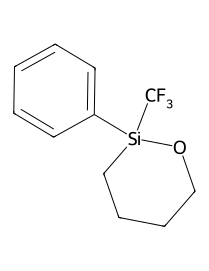 FC(F)(F)[Si]1(c2ccccc2)CCCCO1